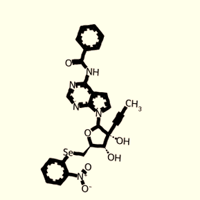 CC#C[C@]1(O)C(n2ccc3c(NC(=O)c4ccccc4)ncnc32)O[C@H](C[Se]c2ccccc2[N+](=O)[O-])[C@H]1O